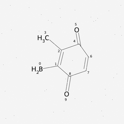 BC1=C(C)C(=O)C=CC1=O